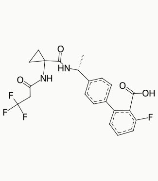 C[C@@H](NC(=O)C1(NC(=O)CC(F)(F)F)CC1)c1ccc(-c2cccc(F)c2C(=O)O)cc1